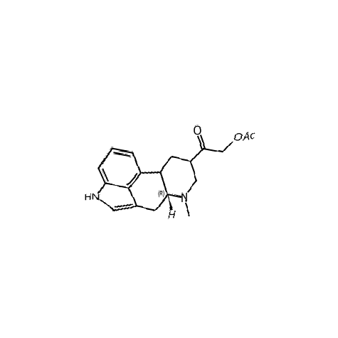 CC(=O)OCC(=O)C1CC2c3cccc4[nH]cc(c34)C[C@H]2N(C)C1